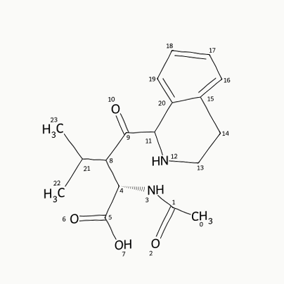 CC(=O)N[C@H](C(=O)O)C(C(=O)C1NCCc2ccccc21)C(C)C